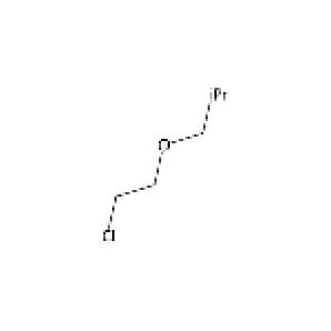 CC(C)COCCCl